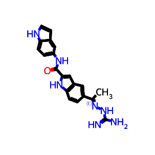 C/C(=N\NC(=N)N)c1ccc2[nH]c(C(=O)Nc3ccc4[nH]ccc4c3)cc2c1